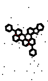 c1ccc(-c2ccc(-c3c(N(c4ccc(-c5ccccc5)cc4)c4ccccc4-c4ccccc4)ccc4c3sc3ccccc34)cc2)cc1